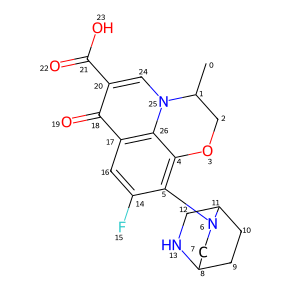 CC1COc2c(N3CC4CCC3CN4)c(F)cc3c(=O)c(C(=O)O)cn1c23